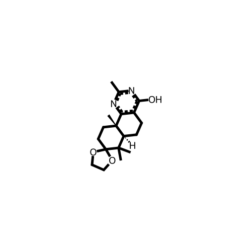 Cc1nc(O)c2c(n1)[C@@]1(C)CCC3(OCCO3)C(C)(C)[C@@H]1CC2